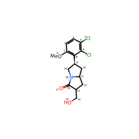 COc1ccc(Cl)c(Cl)c1[C@H]1CC2CC(CO)C(=O)N2C1